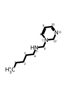 CCCCCNCN1C=CC=NC1